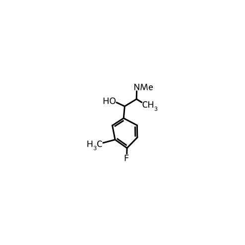 CNC(C)C(O)c1ccc(F)c(C)c1